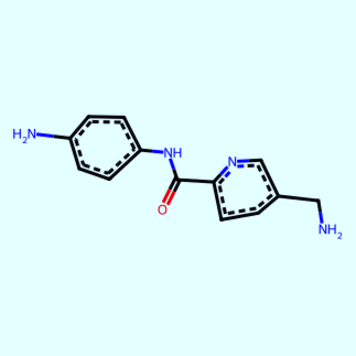 NCc1ccc(C(=O)Nc2ccc(N)cc2)nc1